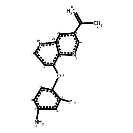 C=C(C)c1cnc2c(Oc3ccc(N)cc3F)ccnc2c1